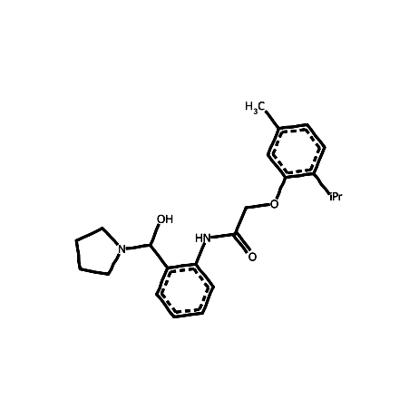 Cc1ccc(C(C)C)c(OCC(=O)Nc2ccccc2C(O)N2CCCC2)c1